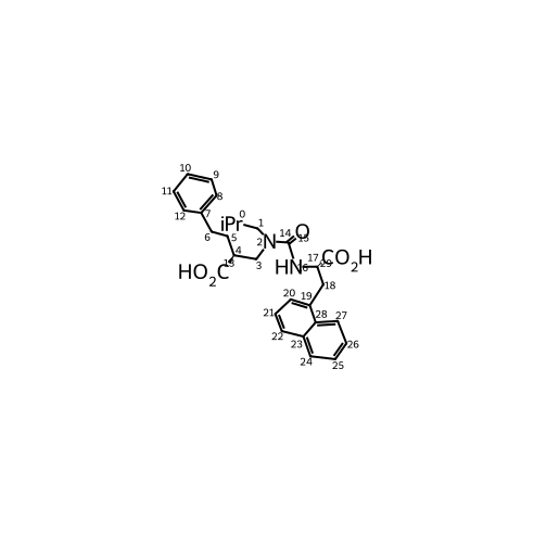 CC(C)CN(C[C@H](CCc1ccccc1)C(=O)O)C(=O)N[C@@H](Cc1cccc2ccccc12)C(=O)O